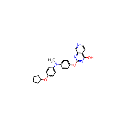 CN(c1ccc(Oc2nc(O)c3ccncc3n2)cc1)c1ccc(OC2CCCC2)cc1